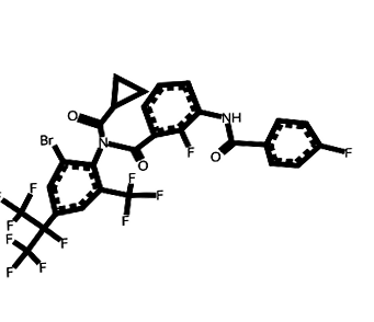 O=C(Nc1cccc(C(=O)N(C(=O)C2CC2)c2c(Br)cc(C(F)(C(F)(F)F)C(F)(F)F)cc2C(F)(F)F)c1F)c1ccc(F)cc1